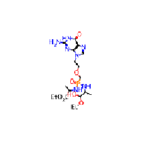 CCOC(=O)[C@H](C)NP(=O)(COCCn1cnc2c(=O)[nH]c(N)nc21)N[C@@H](C)C(O)OCC